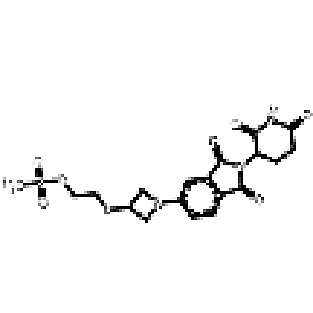 CS(=O)(=O)OCCOC1CN(c2ccc3c(c2)C(=O)N(C2CCC(=O)NC2=O)C3=O)C1